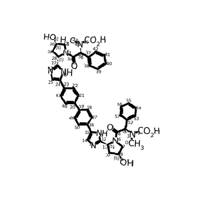 CN(C(=O)O)[C@@H](C(=O)N1C[C@@H](O)C[C@H]1c1ncc(-c2ccc(-c3ccc(-c4cnc([C@@H]5C[C@H](O)CN5C(=O)[C@@H](c5ccccc5)N(C)C(=O)O)[nH]4)cc3)cc2)[nH]1)c1ccccc1